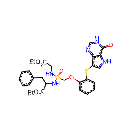 CCOC(=O)CNP(=O)(COc1ccccc1Sc1c[nH]c2c(=O)[nH]cnc12)NC(Cc1ccccc1)C(=O)OCC